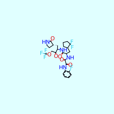 O=C(Nc1ccccc1F)C(=O)NC(CC1CCCC1(F)F)C(=O)NC(C[C@@H]1CCNC1=O)C(=O)COC(F)(F)F